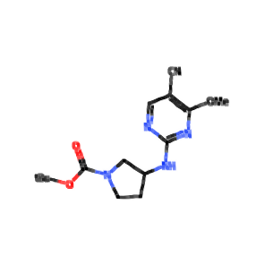 COc1nc(NC2CCN(C(=O)OC(C)(C)C)C2)ncc1C#N